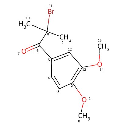 COc1ccc(C(=O)C(C)(C)Br)cc1OC